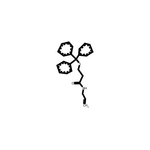 C=CCNC(=O)CCSC(c1ccccc1)(c1ccccc1)c1ccccc1